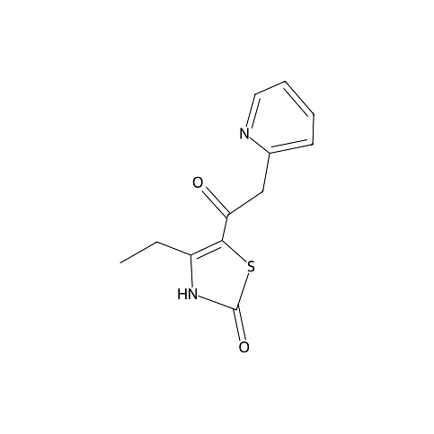 CCc1[nH]c(=O)sc1C(=O)Cc1ccccn1